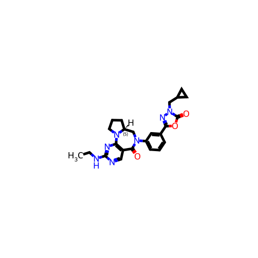 CCNc1ncc2c(n1)N1CCC[C@H]1CN(c1cccc(-c3nn(CC4CC4)c(=O)o3)c1)C2=O